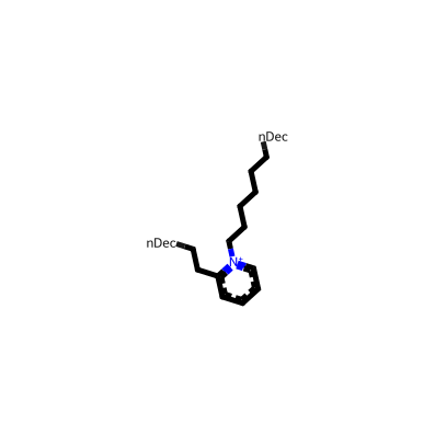 CCCCCCCCCCCCCCCC[n+]1ccccc1CCCCCCCCCCCC